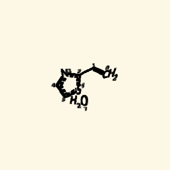 C=Cc1nccs1.O